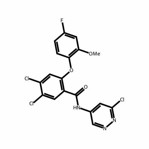 COc1cc(F)ccc1Oc1cc(Cl)c(Cl)cc1C(=O)Nc1cnnc(Cl)c1